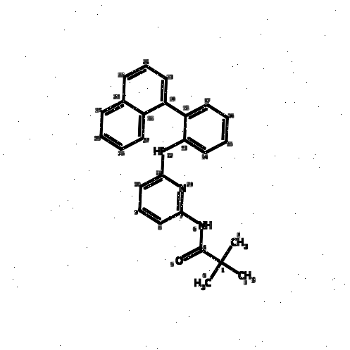 CC(C)(C)C(=O)Nc1cccc(Pc2ccccc2-c2cccc3ccccc23)n1